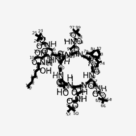 CCCCCCC(O)C(=O)N[C@H](C(=O)N[C@@H](CCNC(=O)OC(C)(C)C)C(=O)N[C@H]1CCNC(=O)[C@H](C(C)O)NC(=O)[C@H](CCNC(=O)OC(C)(C)C)NC(=O)[C@H](CCNC(=O)OC(C)(C)C)NC(=O)[C@H](CC(C)C)NC(=O)[C@@H](Cc2ccccc2)NC(=O)[C@H](CCNC(=O)OC(C)(C)C)NC1=O)C(C)O